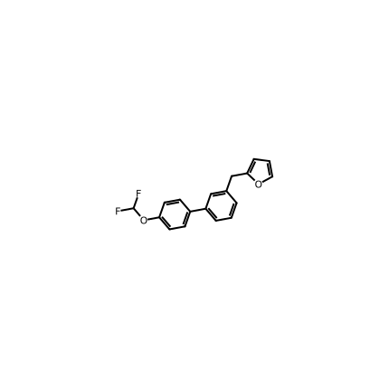 FC(F)Oc1ccc(-c2cccc(Cc3ccco3)c2)cc1